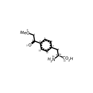 COCC(=O)c1ccc(C[C@H](N)C(=O)O)cc1